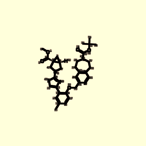 COC(=O)[C@]12C[C@H]1CN(c1nc(-c3cc(C)ccc3OCc3ccc4c(c3)CCN(C(=O)OC(C)(C)C)CC4)cs1)C2